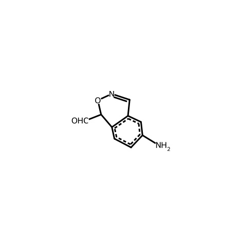 Nc1ccc2c(c1)C=NOC2C=O